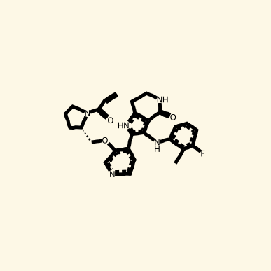 C=CC(=O)N1CCC[C@H]1COc1cnccc1-c1[nH]c2c(c1Nc1cccc(F)c1C)C(=O)NCC2